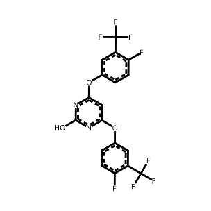 Oc1nc(Oc2ccc(F)c(C(F)(F)F)c2)cc(Oc2ccc(F)c(C(F)(F)F)c2)n1